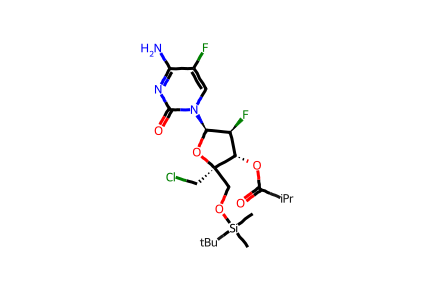 CC(C)C(=O)O[C@H]1[C@H](F)[C@H](n2cc(F)c(N)nc2=O)O[C@]1(CCl)CO[Si](C)(C)C(C)(C)C